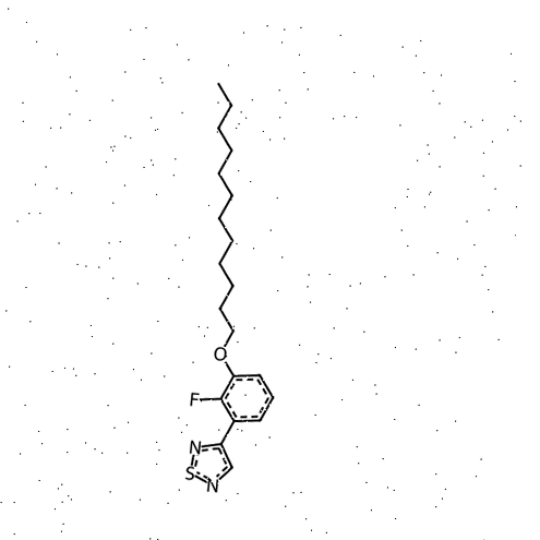 CCCCCCCCCCCCOc1cccc(-c2cnsn2)c1F